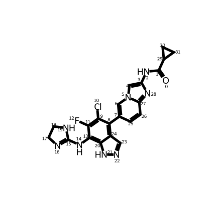 O=C(Nc1cn2cc(-c3c(Cl)c(F)c(NC4=NCCN4)c4[nH]ncc34)ccc2n1)C1CC1